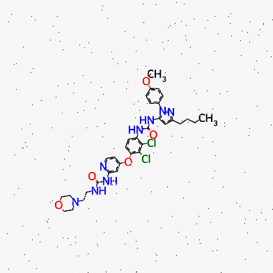 CCCCc1cc(NC(=O)Nc2ccc(Oc3ccnc(NC(=O)NCCN4CCOCC4)c3)c(Cl)c2Cl)n(-c2ccc(OC)cc2)n1